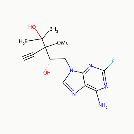 BC(B)(O)C(C#C)(OC)[C@@H](O)Cn1cnc2c(N)nc(F)nc21